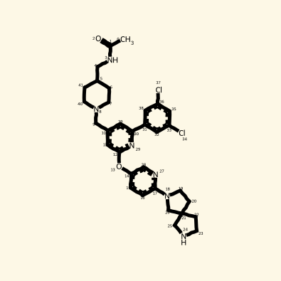 CC(=O)NCC1CCN(Cc2cc(Oc3ccc(N4CCC5(CCNC5)C4)nc3)nc(-c3cc(Cl)cc(Cl)c3)c2)CC1